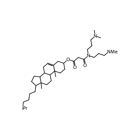 CNCCCN(CCCN(C)C)C(=O)CC(=O)OC1CCC2(C)C(=CCC3C2CCC2(C)C(CCCCC(C)C)CCC32)C1